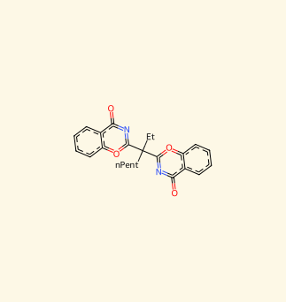 CCCCCC(CC)(c1nc(=O)c2ccccc2o1)c1nc(=O)c2ccccc2o1